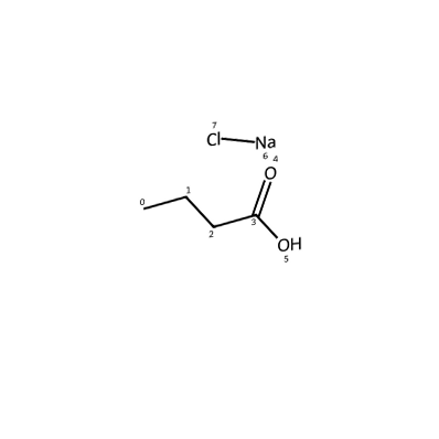 CCCC(=O)O.[Na][Cl]